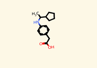 CC(Nc1ccc(CC(=O)O)cc1)C1CCCC1